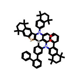 Cc1cc2c3c(c1)N(c1ccc4c(c1)C(C)(C)CCC4(C)C)c1c(sc4cc5c(cc14)C(C)(C)CCC5(C)C)B3c1ccc(-c3ccccc3-c3ccccc3)cc1N2c1cc2c(cc1-c1ccccc1)C(C)(C)CCC2(C)C